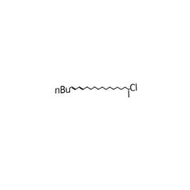 CCCCC=CC=CCCCCCCCCCCCC(Cl)I